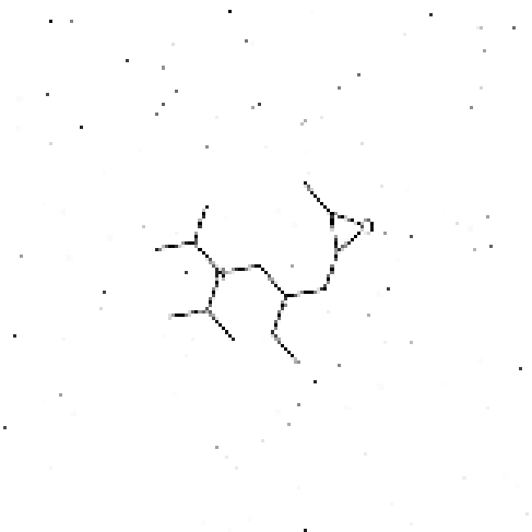 CCC(CC1OC1C)CN(C(C)C)C(C)C